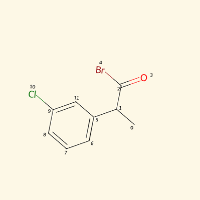 CC(C(=O)Br)c1cccc(Cl)c1